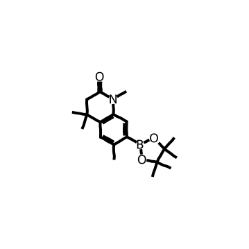 Cc1cc2c(cc1B1OC(C)(C)C(C)(C)O1)N(C)C(=O)CC2(C)C